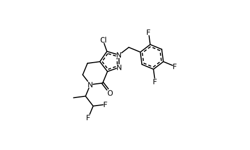 CC(C(F)F)N1CCc2c(nn(Cc3cc(F)c(F)cc3F)c2Cl)C1=O